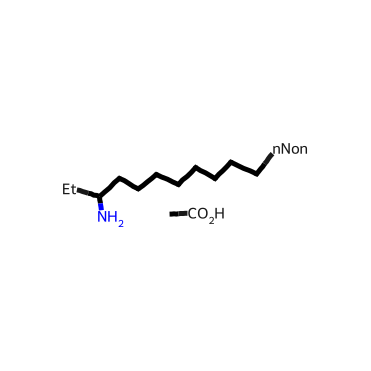 CC(=O)O.CCCCCCCCCCCCCCCCCC(N)CC